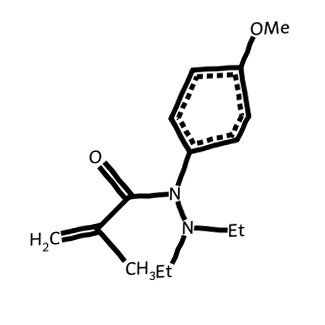 C=C(C)C(=O)N(c1ccc(OC)cc1)N(CC)CC